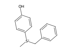 C[S+](Cc1ccccc1)c1ccc(O)cc1